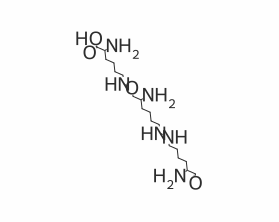 NC(C=O)CCCCNNCCCCC(N)CONCCCCC(N)C(=O)O